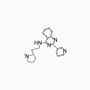 CN1CCCC1CCNc1nc(-c2cccnc2)nc2ccccc12